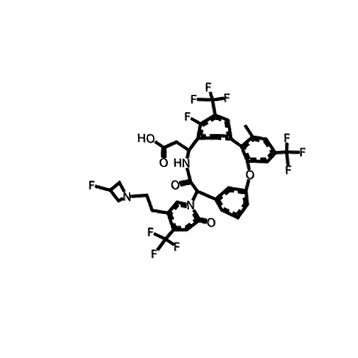 Cc1cc(C(F)(F)F)cc2c1-c1cc(c(F)c(C(F)(F)F)c1)C(CC(=O)O)NC(=O)C(n1cc(CCN3CC(F)C3)c(C(F)(F)F)cc1=O)c1cccc(c1)O2